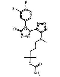 CN(CCCC(C)(C)OC(N)=O)c1nonc1-c1noc(=O)n1-c1ccc(F)c(Br)c1